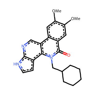 COc1cc2c(=O)n(CC3CCCCC3)c3c4cc[nH]c4ncc3c2cc1OC